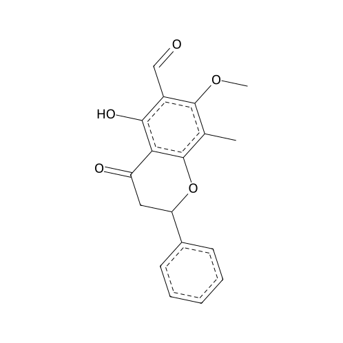 COc1c(C)c2c(c(O)c1C=O)C(=O)CC(c1ccccc1)O2